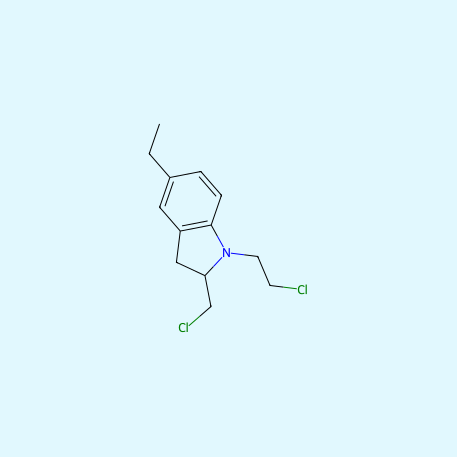 CCc1ccc2c(c1)CC(CCl)N2CCCl